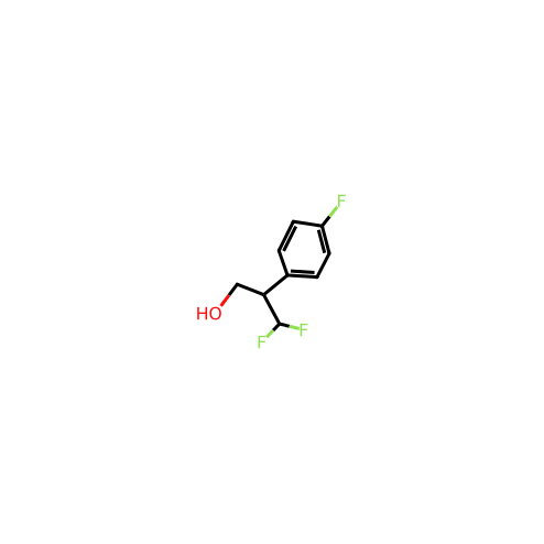 OCC(c1ccc(F)cc1)C(F)F